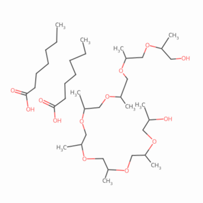 CC(O)COC(C)COC(C)COC(C)COC(C)COC(C)COC(C)COC(C)CO.CCCCCCC(=O)O.CCCCCCC(=O)O